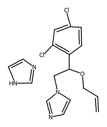 C=CCOC(Cn1ccnc1)c1ccc(Cl)cc1Cl.c1c[nH]cn1